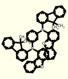 CC1(C)c2ccccc2-c2cccc(N(c3cccc(N(c4cccc5c4C(C)(C)c4ccccc4-5)c4cccc5oc6ccccc6c45)c3)c3cccc4c3oc3ccccc34)c21